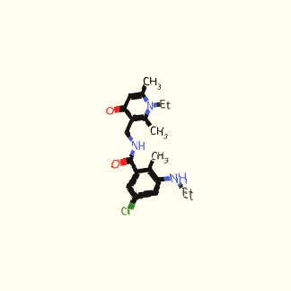 CCNc1cc(Cl)cc(C(=O)NCc2c(C)n(CC)c(C)cc2=O)c1C